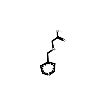 NC(=O)CNCc1ccncc1